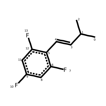 CC(C)/C=C/c1c(F)cc(F)cc1F